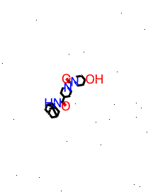 O=C(NC12CC3CC(CC(C3)C1)C2)C1CCN(C(=O)N2CCC(O)CC2)CC1